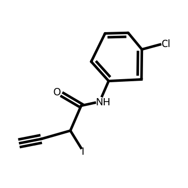 C#CC(I)C(=O)Nc1cccc(Cl)c1